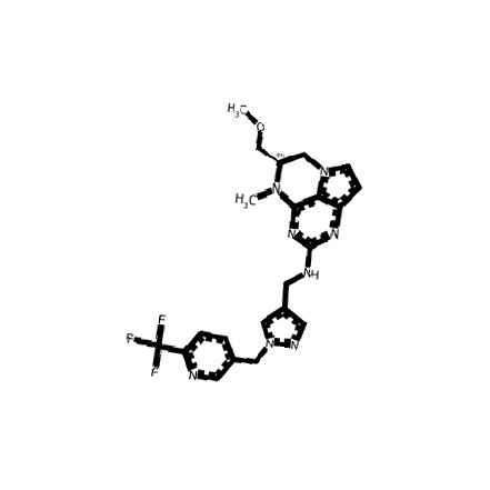 COC[C@H]1Cn2ccc3nc(NCc4cnn(Cc5ccc(C(F)(F)F)nc5)c4)nc(c32)N1C